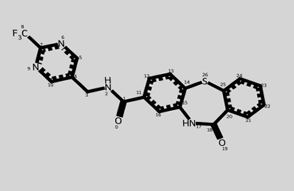 O=C(NCc1cnc(C(F)(F)F)nc1)c1ccc2c(c1)NC(=O)c1ccccc1S2